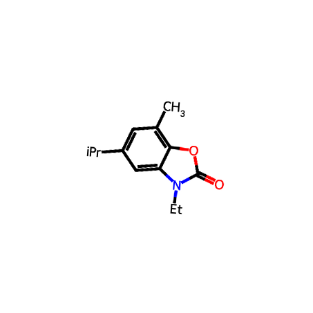 CCn1c(=O)oc2c(C)cc(C(C)C)cc21